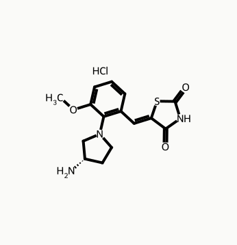 COc1cccc(/C=C2\SC(=O)NC2=O)c1N1CC[C@H](N)C1.Cl